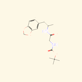 CC(Cc1ccc2c(c1)OCO2)NC(=O)CNC(=O)OC(C)(C)C